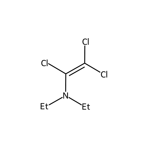 CCN(CC)C(Cl)=C(Cl)Cl